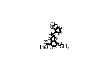 COc1ccccc1Cc1nc2c(OC)ccc(C(=O)O)c2[nH]1